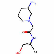 CC(CO)NC(=O)CN1CCCC(N)C1